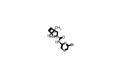 C[C@]12C#C[C@H]1N[C@H](C(=O)Nc1cncc(Br)n1)C2